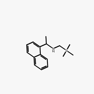 CC(NC[Si](C)(C)C)c1cccc2ccccc12